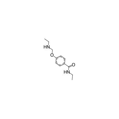 CCNCOc1ccc(C(=O)NCC)cc1